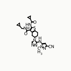 Cn1nc(C#N)cc1Nc1nncn1[C@H]1CCc2sc(NC(=O)C3CC3)c(C(=O)NCC3CC3)c2C1